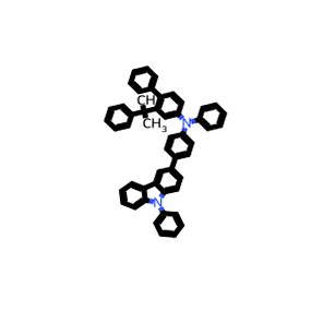 CC(C)(c1ccccc1)c1cc(N(c2ccccc2)c2ccc(-c3ccc4c(c3)c3ccccc3n4-c3ccccc3)cc2)ccc1-c1ccccc1